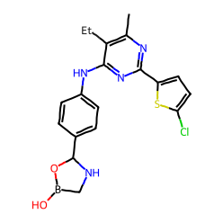 CCc1c(C)nc(-c2ccc(Cl)s2)nc1Nc1ccc(C2NCB(O)O2)cc1